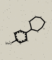 COc1ccc(C2CCCCCC2)cc1